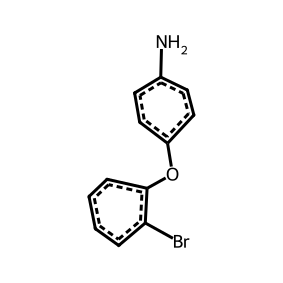 Nc1ccc(Oc2ccccc2Br)cc1